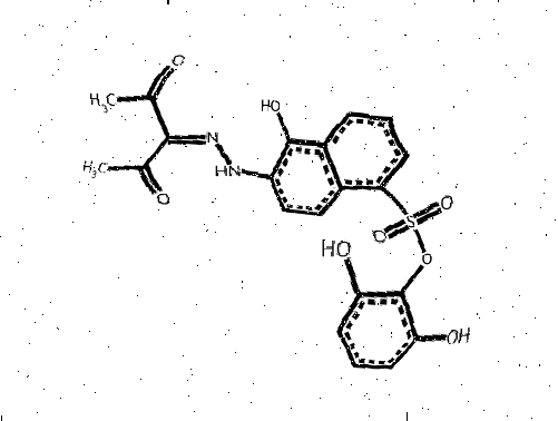 CC(=O)C(=NNc1ccc2c(S(=O)(=O)Oc3c(O)cccc3O)cccc2c1O)C(C)=O